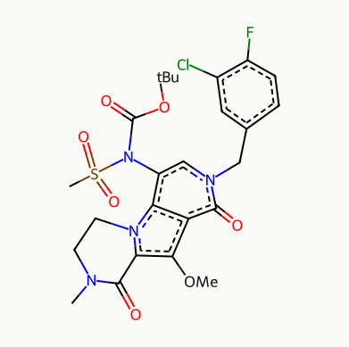 COc1c2n(c3c(N(C(=O)OC(C)(C)C)S(C)(=O)=O)cn(Cc4ccc(F)c(Cl)c4)c(=O)c13)CCN(C)C2=O